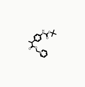 CC(C(=O)OC[n+]1ccccc1)c1ccc(NC(=O)OC(C)(C)C)cc1